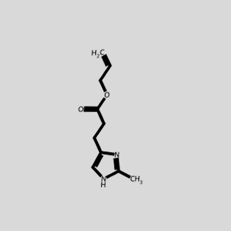 C=CCOC(=O)CCc1c[nH]c(C)n1